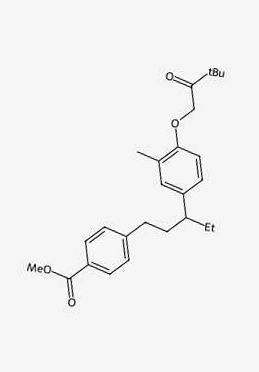 CCC(CCc1ccc(C(=O)OC)cc1)c1ccc(OCC(=O)C(C)(C)C)c(C)c1